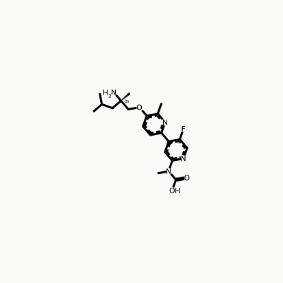 Cc1nc(-c2cc(N(C)C(=O)O)ncc2F)ccc1OC[C@@](C)(N)CC(C)C